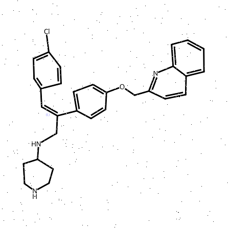 Clc1ccc(/C=C(/CNC2CCNCC2)c2ccc(OCc3ccc4ccccc4n3)cc2)cc1